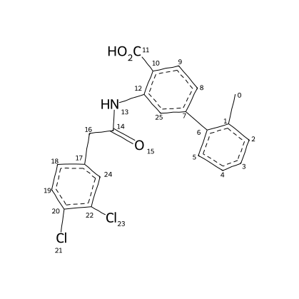 Cc1ccccc1-c1ccc(C(=O)O)c(NC(=O)Cc2ccc(Cl)c(Cl)c2)c1